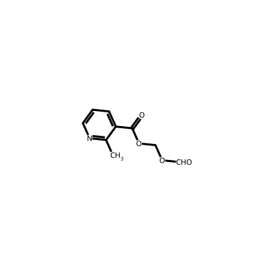 Cc1ncccc1C(=O)OCOC=O